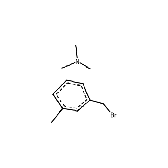 CN(C)C.Cc1cccc(CBr)c1